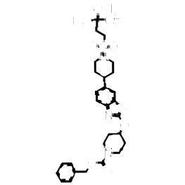 CC(C)(O)CCS(=O)(=O)N1CCC(c2ccc3nc(OC4CCN(C(=O)OCc5ccccc5)CC4)sc3c2)CC1